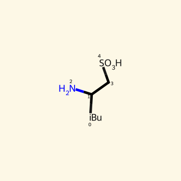 CCC(C)C(N)CS(=O)(=O)O